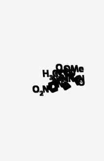 COc1c(C(=O)Nc2cnoc2)nc(-c2nc3cc([N+](=O)[O-])ccc3n2C2CCC2)n(C)c1=O